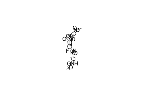 CC(C)(C)OC(=O)Nc1ccc(-c2nc(-c3ccc(CC(NS(=O)(=O)c4ccc([N+](=O)[O-])cc4)C(=O)O)cc3F)no2)cc1